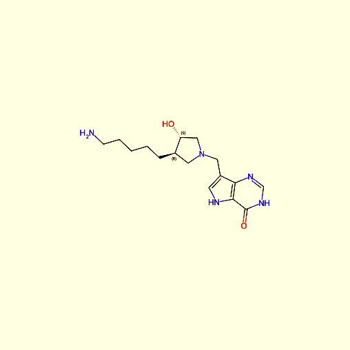 NCCCCC[C@@H]1CN(Cc2c[nH]c3c(=O)[nH]cnc23)C[C@H]1O